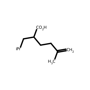 C=C(C)CCC(CC(C)C)C(=O)O